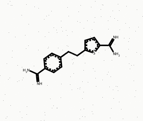 N=C(N)c1ccc([CH]Cc2ccc(C(=N)N)s2)cc1